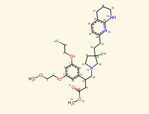 COCCOc1cc(OCCF)cc(C(CC(=O)OC)CN2CCC(F)(CCc3ccc4c(n3)NCCC4)C2)c1